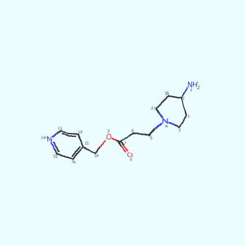 NC1CCN(CCC(=O)OCc2ccncc2)CC1